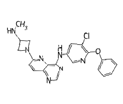 CNC1CN(c2ccc3ncnc(Nc4cnc(Oc5ccccc5)c(Cl)c4)c3n2)C1